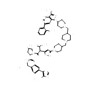 Cc1ncsc1-c1ccc([C@H](C)NC(=O)[C@@H]2C[C@@H](O)CN2C(=O)C(c2cc(N3CCC(CN4CCC(CN5CCC(n6nc(N)c7nnc(-c8ccccc8O)cc76)CC5)CC4)CC3)no2)C(C)C)cc1